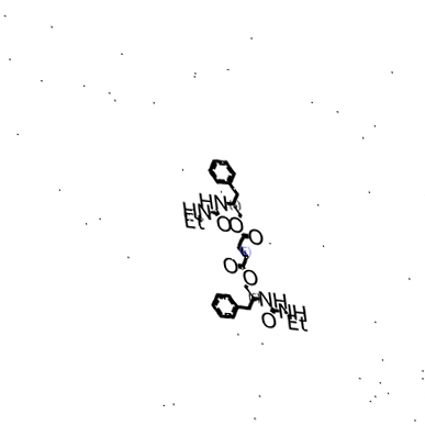 CCNC(=O)N[C@H](COC(=O)/C=C/C(=O)OC[C@H](Cc1ccccc1)NC(=O)NCC)Cc1ccccc1